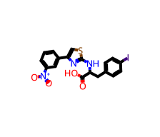 O=C(O)C(Cc1ccc(I)cc1)Nc1nc(-c2cccc([N+](=O)[O-])c2)cs1